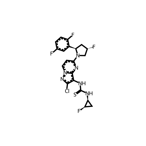 Fc1ccc(F)c([C@H]2C[C@H](F)CN2c2ccn3nc(Cl)c(NC(=S)N[C@H]4C[C@H]4F)c3n2)c1